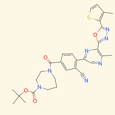 Cc1ccsc1-c1nnc(-c2nc(-c3ccc(C(=O)N4CCCN(C(=O)OC(C)(C)C)CC4)cc3C#N)cnc2C)o1